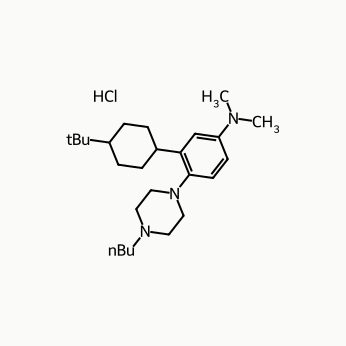 CCCCN1CCN(c2ccc(N(C)C)cc2C2CCC(C(C)(C)C)CC2)CC1.Cl